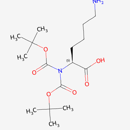 CC(C)(C)OC(=O)N(C(=O)OC(C)(C)C)[C@@H](CCCCN)C(=O)O